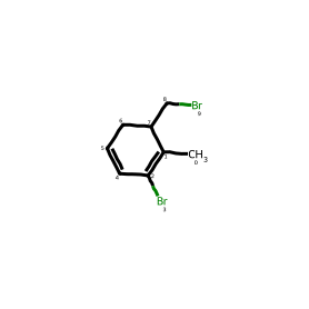 CC1=C(Br)C=CCC1CBr